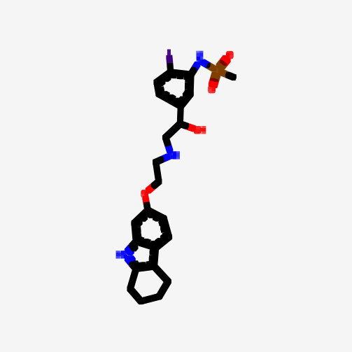 CS(=O)(=O)Nc1cc(C(O)CNCCOc2ccc3c4c([nH]c3c2)CCCC4)ccc1I